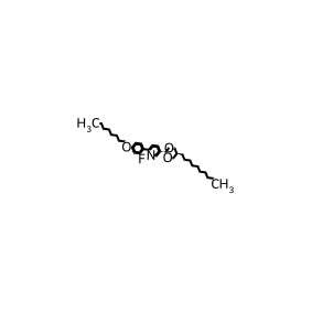 CCCCCCCCCC[C@H]1CO[C@H](c2ccc(-c3ccc(OCCCCCCCC)cc3F)nc2)OC1